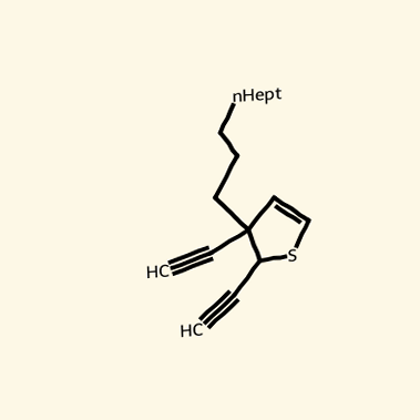 C#CC1SC=CC1(C#C)CCCCCCCCCC